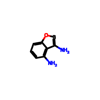 Nc1boc2cccc(N)c12